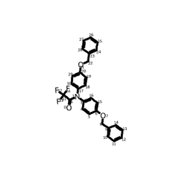 O=C(N(c1ccc(OCc2ccccc2)cc1)c1ccc(OCc2ccccc2)cc1)C(F)(F)F